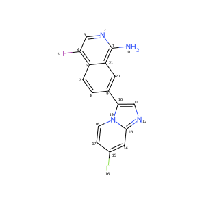 Nc1ncc(I)c2ccc(-c3cnc4cc(F)ccn34)cc12